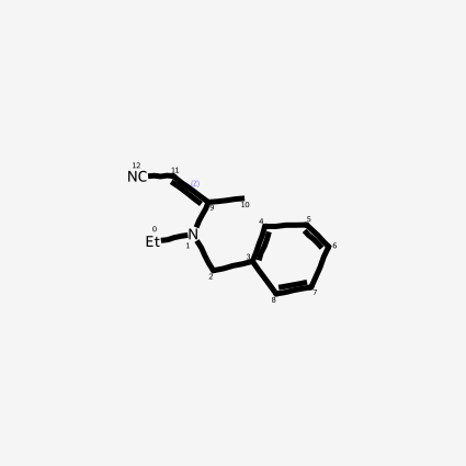 CCN(Cc1ccccc1)/C(C)=C\C#N